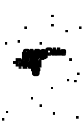 CC[C@@H](C=NOC)Nc1c2c(nc3c(-c4ccc(OC)cc4C)c(C)nn13)COC2